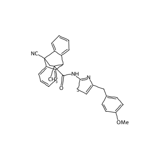 COc1ccc(Cc2csc(NC(=O)C3(C)CC4(C#N)c5ccccc5C3c3ccccc34)n2)cc1